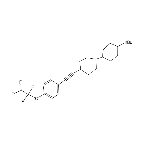 CCCCC1CCC(C2CCC(C#Cc3ccc(OC(F)(F)C(F)F)cc3)CC2)CC1